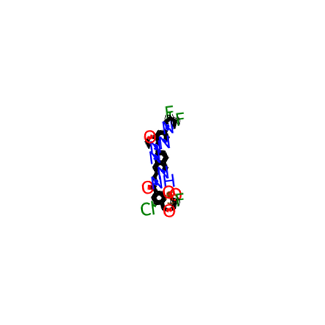 O=C(NCc1cc2nc(N3CCOc4cc(N5C[C@@H](F)[C@H](F)C5)cnc43)ccc2cn1)c1cc(Cl)c2c(c1)S(=O)(=O)[C@@H](F)COC2